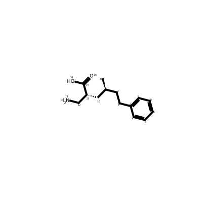 C[C@@H](CCc1ccccc1)C[C@H](CN)C(=O)O